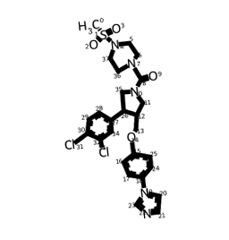 CS(=O)(=O)N1CCN(C(=O)N2CC(COc3ccc(-n4ccnc4)cc3)C(c3ccc(Cl)c(Cl)c3)C2)CC1